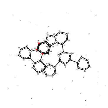 c1ccc(-c2nc(-c3ccccc3)nc(-c3cccc4sc5ccc(-c6ccccc6-c6ccccc6-c6ccccc6)cc5c34)n2)cc1